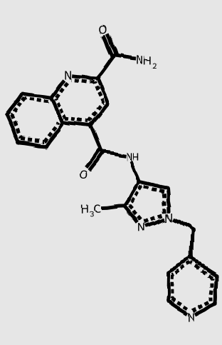 Cc1nn(Cc2ccncc2)cc1NC(=O)c1cc(C(N)=O)nc2ccccc12